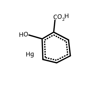 O=C(O)c1ccccc1O.[Hg]